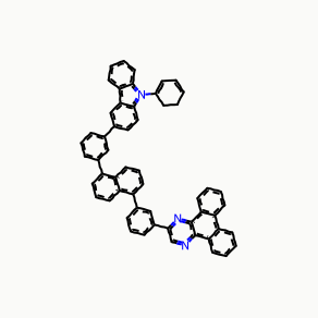 C1=CCCC(n2c3ccccc3c3cc(-c4cccc(-c5cccc6c(-c7cccc(-c8cnc9c%10ccccc%10c%10ccccc%10c9n8)c7)cccc56)c4)ccc32)=C1